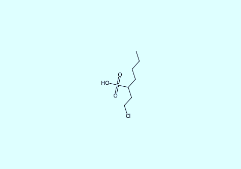 CCCCC(CCCl)S(=O)(=O)O